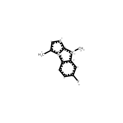 Cc1csc2n1c1ccc(F)cc1[n+]2C